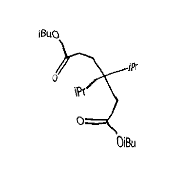 CC(C)COC(=O)CC(CC(=O)OCC(C)C)(C(C)C)C(C)C